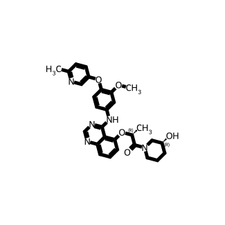 COc1cc(Nc2ncnc3cccc(O[C@H](C)C(=O)N4CCC[C@@H](O)C4)c23)ccc1Oc1ccc(C)nc1